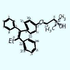 CC/C(=C(\c1ccccc1)c1ccc(OCC[N+](C)(C)O)cc1)c1ccccc1